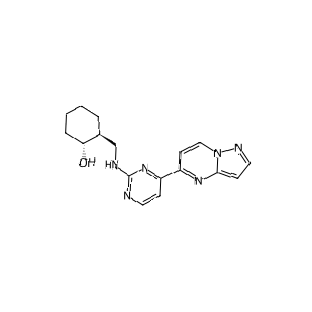 O[C@@H]1CCCC[C@H]1CNc1nccc(-c2ccn3nccc3n2)n1